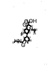 CCCNC(=O)c1cc(-c2cc3c(cc2F)c(=O)c(C(=O)O)cn3C2CC2)ccn1